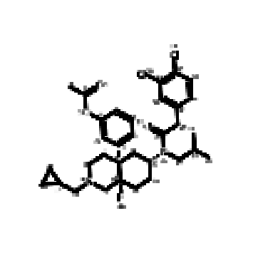 CC(=O)Oc1cccc([C@@]23CCN(CC4CC4)C[C@H]2CC[C@@H](N(CC(C)C)C(=O)Cc2ccc(Cl)c(Cl)c2)C3)c1